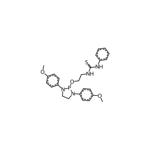 COc1ccc(N2CCN(c3ccc(OC)cc3)P2OCCNC(=S)Nc2ccccc2)cc1